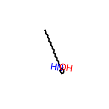 CCCCCCCCCCCCCCCCCCCCNC1(O)CCCC1